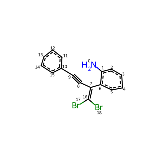 Nc1ccccc1C(C#Cc1ccccc1)=C(Br)Br